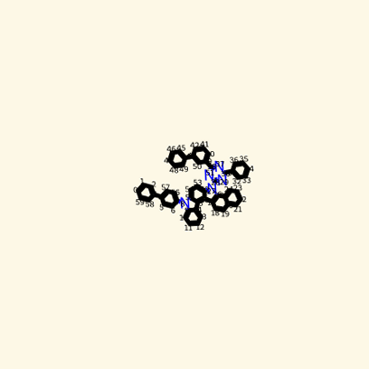 c1ccc(-c2ccc(-n3c4ccccc4c4c5c6ccc7ccccc7c6n(-c6nc(-c7ccccc7)nc(-c7cccc(-c8ccccc8)c7)n6)c5ccc43)cc2)cc1